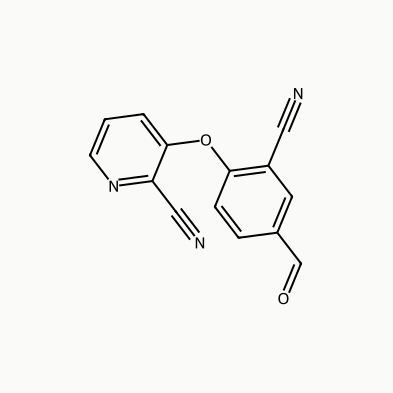 N#Cc1cc(C=O)ccc1Oc1cccnc1C#N